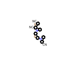 N#Cc1ccc2c(c1)c1ccccc1n2-c1ccc2sc3ccc(-n4c5ccccc5c5c6c(sc7c(C#N)cccc76)c(C#N)cc54)cc3c2c1